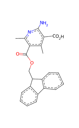 Cc1nc(N)c(C(=O)O)c(C)c1C(=O)OCC1c2ccccc2-c2ccccc21